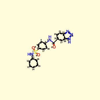 O=C(Nc1ccc(S(=O)(=O)Nc2ccccc2)cc1)c1ccc2nn[nH]c2c1